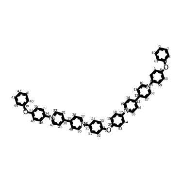 c1ccc(Oc2ccc(-[n+]3ccc(-c4cc[n+](-c5ccc(Oc6ccc(-[n+]7ccc(-c8cc[n+](-c9ccc(Oc%10ccccc%10)cc9)cc8)cc7)cc6)cc5)cc4)cc3)cc2)cc1